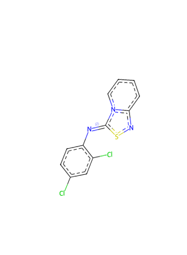 Clc1ccc(/N=c2\snc3ccccn23)c(Cl)c1